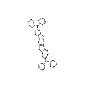 c1ccc(N(c2ccccc2)c2ccc3c(c2)Cc2cc4c(cc2-3)Cc2cc(N(c3ccccc3)c3ccccc3)ccc2-4)cc1